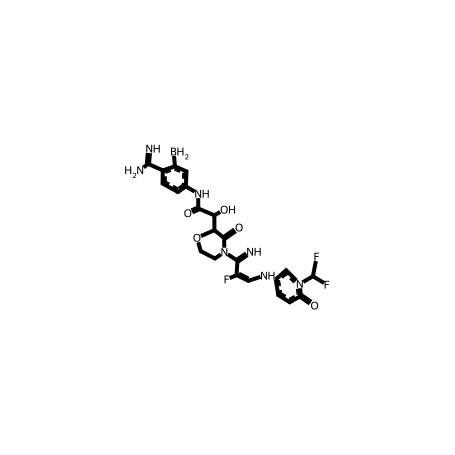 Bc1cc(NC(=O)C(O)C2OCCN(C(=N)/C(F)=C\Nc3ccc(=O)n(C(F)F)c3)C2=O)ccc1C(=N)N